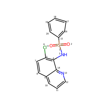 O=S(=O)(Nc1c(Cl)ccc2cccnc12)c1ccccc1